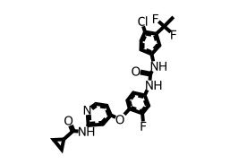 CC(F)(F)c1cc(NC(=O)Nc2ccc(Oc3ccnc(NC(=O)C4CC4)c3)c(F)c2)ccc1Cl